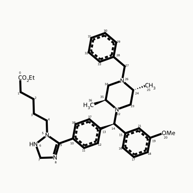 CCOC(=O)CCCCN1NCN=C1c1ccc([C@H](c2cccc(OC)c2)N2C[C@@H](C)N(Cc3ccccc3)C[C@@H]2C)cc1